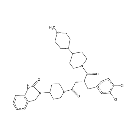 CN1CCC(C2CCN(C(=O)[C@@H](CC(=O)N3CCC(N4Cc5ccccc5NC4=O)CC3)Cc3ccc(Cl)c(Cl)c3)CC2)CC1